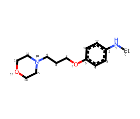 CCNc1ccc(OCCCN2CCOCC2)cc1